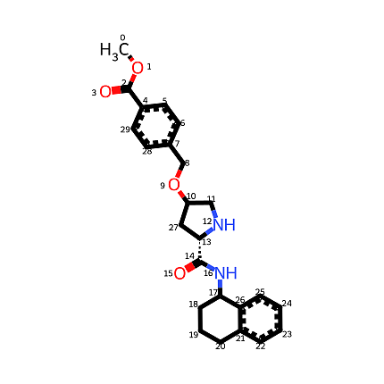 COC(=O)c1ccc(COC2CN[C@H](C(=O)NC3CCCc4ccccc43)C2)cc1